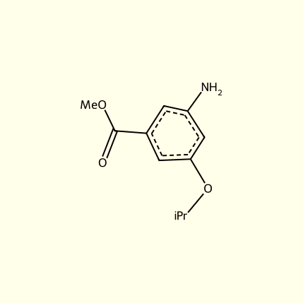 COC(=O)c1cc(N)cc(OC(C)C)c1